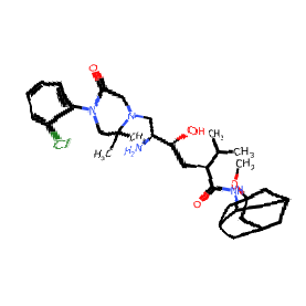 COC12CC3CC(C1)C(NC(=O)[C@@H](C[C@H](O)[C@@H](N)CN1CC(=O)N(c4ccccc4Cl)CC1(C)C)C(C)C)C(C3)C2